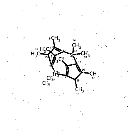 CC1=[C]2[Ti+2][C]3=C(C)C(=C(C)C3C)[Si](C)(C)C1=C(C)C2C.[Cl-].[Cl-]